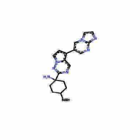 CNC1CCC(N)(c2ncc3c(-c4cnc5nccn5c4)ccn3n2)CC1